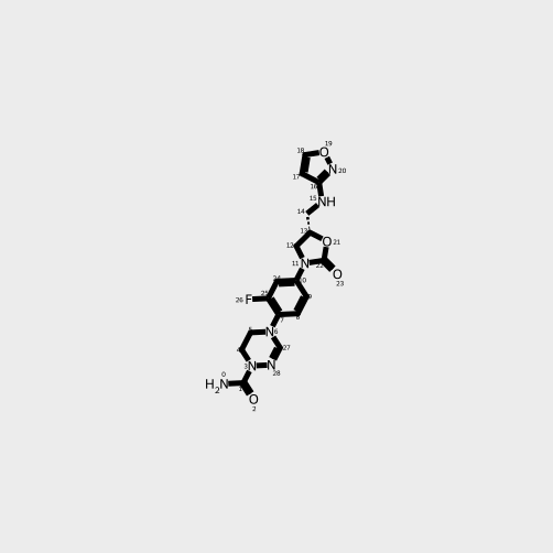 NC(=O)N1CCN(c2ccc(N3C[C@H](CNc4ccon4)OC3=O)cc2F)C=N1